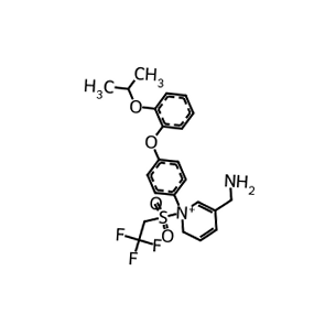 CC(C)Oc1ccccc1Oc1ccc([N+]2(S(=O)(=O)CC(F)(F)F)C=C(CN)C=CC2)cc1